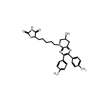 Cc1ccc(-c2nc3c(nc2-c2ccc(C)cc2)N(CCCCCC2SC(=O)NC2=O)CC(O)C3)cc1